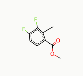 COC(=O)c1ccc(F)c(F)c1C